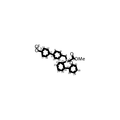 COC(=O)C(=O)N(Cc1ccc(-c2ccc(OC(F)(F)F)cc2)cc1)c1ccccc1-c1ccccc1